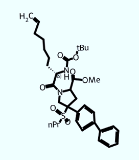 C=CCCCCC[C@H](NC(=O)OC(C)(C)C)C(=O)N1CC(c2ccc(-c3ccccc3)cc2)(S(=O)(=O)CCC)CC1C(=O)OC